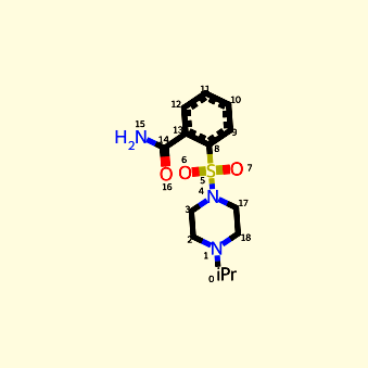 CC(C)N1CCN(S(=O)(=O)c2ccccc2C(N)=O)CC1